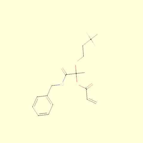 C=CC(=O)OC(OCCC(F)(F)S(=O)(=O)O)(C(=O)NCc1ccccc1)C(F)(F)F